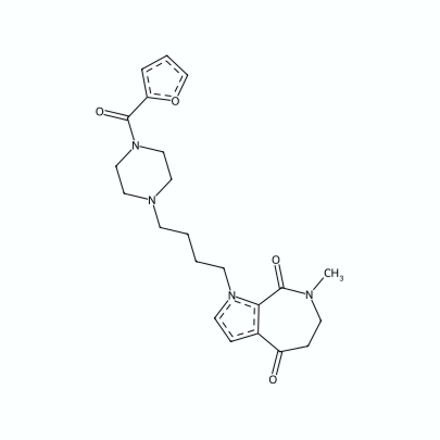 CN1CCC(=O)c2ccn(CCCCN3CCN(C(=O)c4ccco4)CC3)c2C1=O